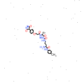 Cc1ccc(NC(=O)C(N)CCCNC(=O)NC(=O)[C@@H](NC(=O)CCOc2ccc(C3C(=O)N=NC3=O)cc2)C(C)C)cc1